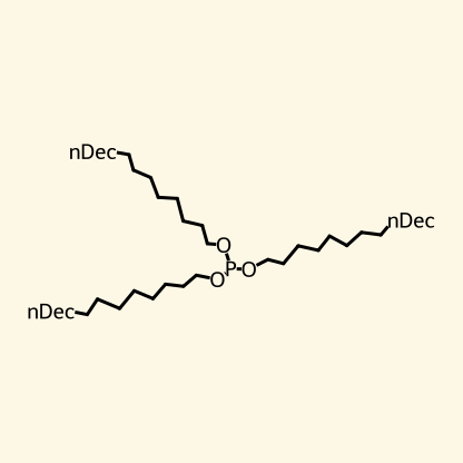 CCCCCCCCCCCCCCCCCCOP(OCCCCCCCCCCCCCCCCCC)OCCCCCCCCCCCCCCCCCC